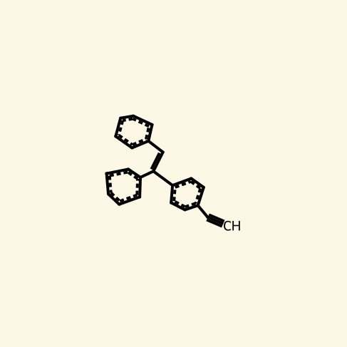 C#Cc1ccc(C(=Cc2ccccc2)c2ccccc2)cc1